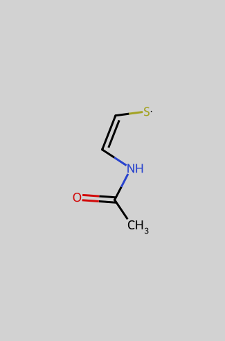 CC(=O)N/C=C\[S]